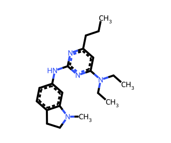 CCCc1cc(N(CC)CC)nc(Nc2ccc3c(c2)N(C)CC3)n1